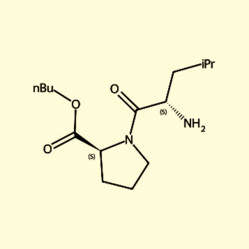 CCCCOC(=O)[C@@H]1CCCN1C(=O)[C@@H](N)CC(C)C